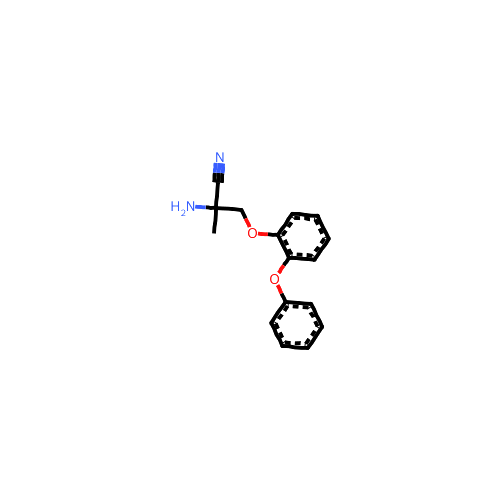 CC(N)(C#N)COc1ccccc1Oc1ccccc1